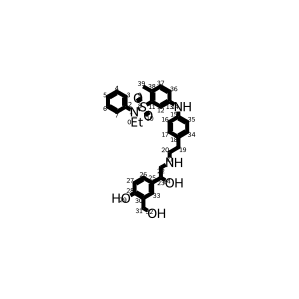 CCN(c1ccccc1)S(=O)(=O)c1cc(Nc2ccc(CCNCC(O)c3ccc(O)c(CO)c3)cc2)ccc1C